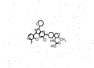 C[C@@H]1OCC2(CCN(c3nc4c(nc3Cl)c(-c3ccnc(F)c3Cl)nn4C3CCCCO3)CC2)[C@@H]1NC(=O)O